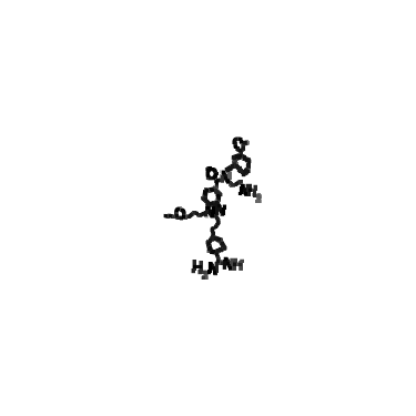 CCOCCCn1c(CCc2ccc(C(=N)N)cc2)nc2cc(C(=O)N(CCN)Cc3cccc(OC)c3)ccc21